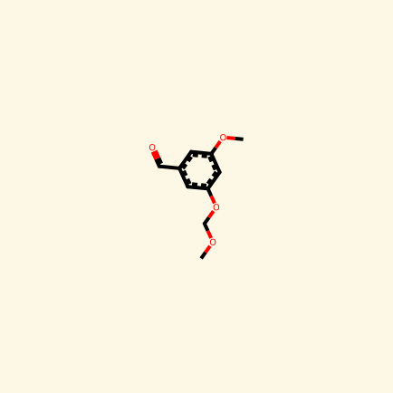 COCOc1cc(C=O)cc(OC)c1